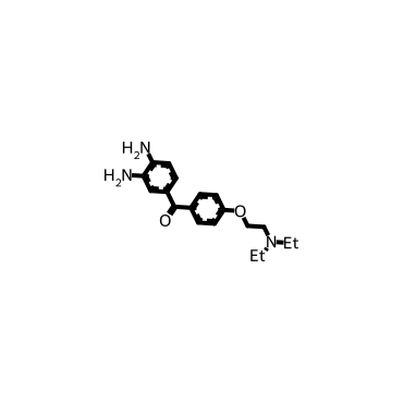 CCN(CC)CCOc1ccc(C(=O)c2ccc(N)c(N)c2)cc1